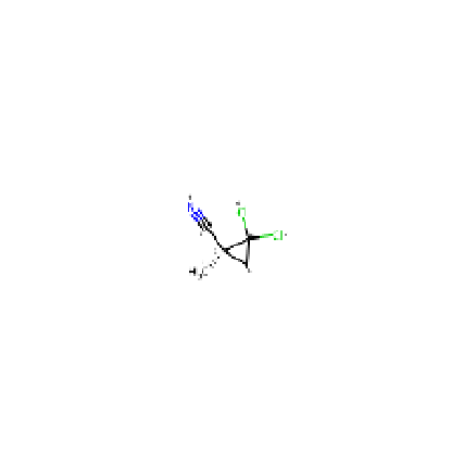 C[C@@]1(C#N)CC1(Cl)Cl